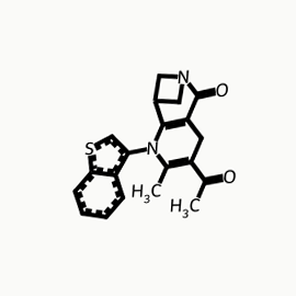 CC(=O)C1=C(C)N(c2csc3ccccc23)C2=C(C1)C(=O)N1CC2C1